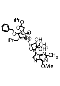 COc1nc(C)nc2c1ncn2[C@@H]1O[C@H](COP(=O)(N[C@@H](CC(C)C)C(=O)OCc2ccccc2)OCC(=O)OC(C)C)C(O)[C@]1(C)O